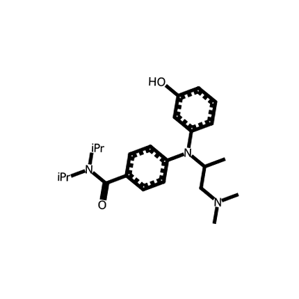 CC(CN(C)C)N(c1ccc(C(=O)N(C(C)C)C(C)C)cc1)c1cccc(O)c1